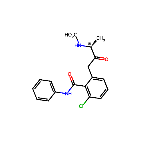 C[C@H](NC(=O)O)C(=O)Cc1cccc(Cl)c1C(=O)Nc1ccccc1